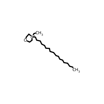 CCCCCCCCCCCCCCCCCC[N+]1(CC)CCOCC1